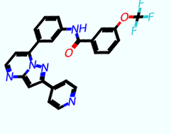 O=C(Nc1cccc(-c2ccnc3cc(-c4ccncc4)nn23)c1)c1cccc(OC(F)(F)F)c1